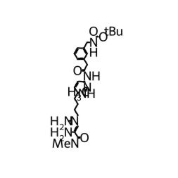 C/N=C(\C=C/C(=N)CCCCN(N)/C=C(\N)C(=O)NC)NC(=O)Cc1cccc(CNC(=O)OC(C)(C)C)c1